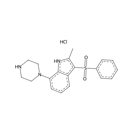 Cc1[nH]c2c(N3CCNCC3)cccc2c1S(=O)(=O)c1ccccc1.Cl